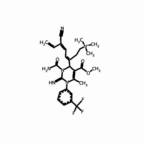 C=C/C(C#N)=C\C=C(/CC[N+](C)(C)C)C1C(C(=O)OC)=C(C)N(c2cccc(C(F)(F)F)c2)C(=N)N1C(N)=O